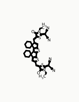 CCn1c(=C(C#N)C#N)s/c(=C\C2=Cc3sc4c(c3C23CCCCC3)C2(CCCCC2)c2cc(/C=c3\sc(=C(C#N)C#N)n(CC)c3=O)sc2-4)c1=O